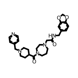 O=C(CN1CCCN(C(=O)C2CCN(Cc3ccncc3)CC2)CC1)NCc1ccc2c(c1)OCO2